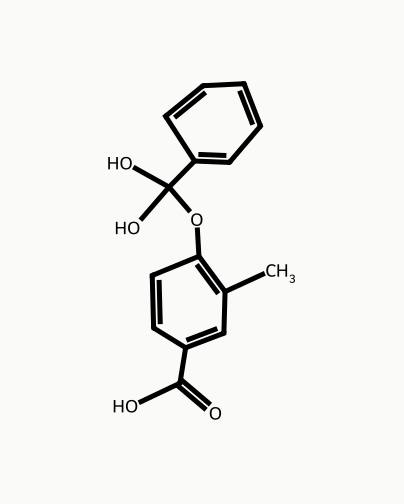 Cc1cc(C(=O)O)ccc1OC(O)(O)c1ccccc1